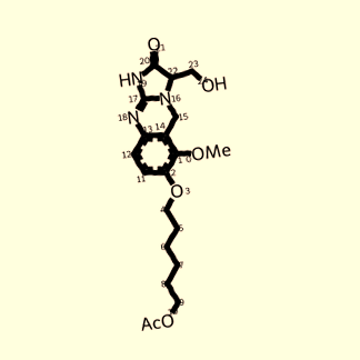 COc1c(OCCCCCCOC(C)=O)ccc2c1CN1C(=N2)NC(=O)C1CO